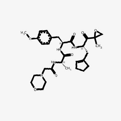 COc1ccc(C[C@H](NC(=O)[C@H](C)NC(=O)CN2CCOCC2)C(=O)N[C@@H](CC2=CCCC2)C(=O)C2(C)CO2)cc1